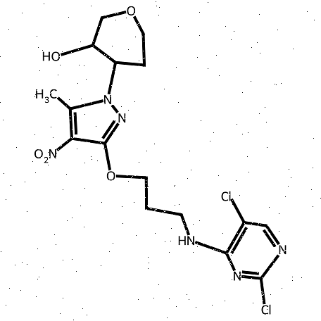 Cc1c([N+](=O)[O-])c(OCCCNc2nc(Cl)ncc2Cl)nn1C1CCOCC1O